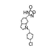 O=c1[nH]c(-c2ccc3ccn(Cc4ccc(Cl)cc4)c3c2)no1